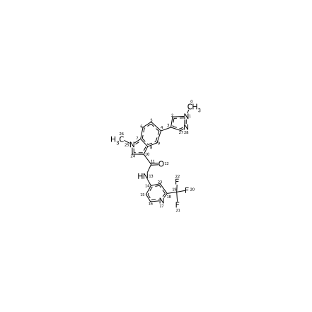 Cn1cc(-c2ccc3c(c2)c(C(=O)Nc2ccnc(C(F)(F)F)c2)cn3C)cn1